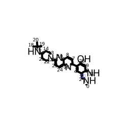 CN/C=C1/C=C(c2ccc3nc(N4CCC(NC(C)(C)C)CC4)ccc3n2)C(O)=CC1=N